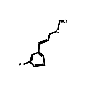 O=[C]OCC=Cc1cccc(Br)c1